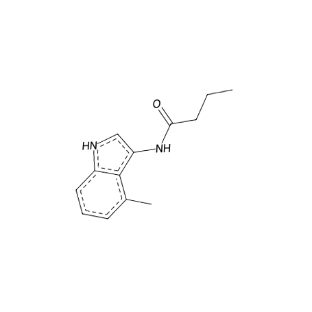 CCCC(=O)Nc1c[nH]c2cccc(C)c12